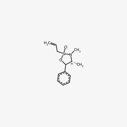 C=CC[Si]1(Cl)OC(c2ccccc2)[C@@H](C)N1C